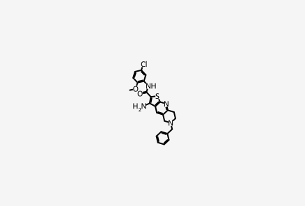 COc1ccc(Cl)cc1NC(=O)c1sc2nc3c(cc2c1N)CN(Cc1ccccc1)CC3